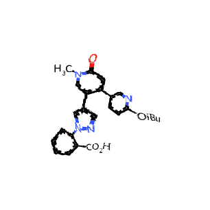 CC(C)COc1ccc(-c2cc(=O)n(C)cc2-c2cnn(-c3ccccc3C(=O)O)c2)cn1